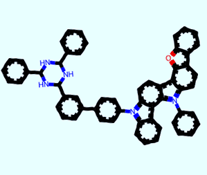 c1ccc(C2NC(c3ccccc3)NC(c3cccc(-c4ccc(-n5c6ccccc6c6c5ccc5c7c8oc9ccccc9c8ccc7n(-c7ccccc7)c56)cc4)c3)N2)cc1